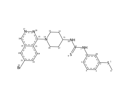 CSc1cccc(NC(=S)NC2CCN(c3nncc4cc(Br)ccc34)CC2)c1